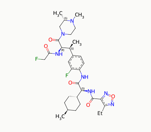 CCc1nonc1C(=O)N[C@H](C(=O)Nc1ccc([C@H](C)[C@@H](NC(=O)CF)C(=O)N2CCN(C)[C@@H](C)C2)cc1F)[C@H]1CC[C@H](C)CC1